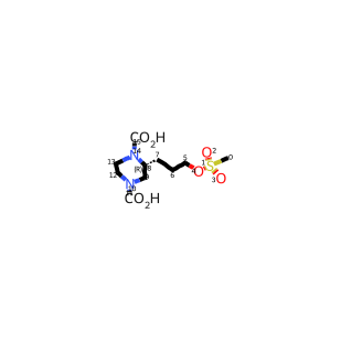 CS(=O)(=O)OCCC[C@@H]1CN(C(=O)O)CCN1C(=O)O